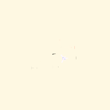 CSCC[C@@H](C(=O)O)N(C)C